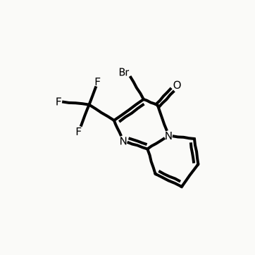 O=c1c(Br)c(C(F)(F)F)nc2ccccn12